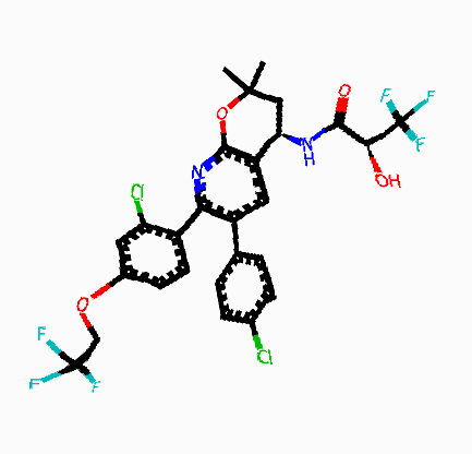 CC1(C)C[C@@H](NC(=O)[C@H](O)C(F)(F)F)c2cc(-c3ccc(Cl)cc3)c(-c3ccc(OCC(F)(F)F)cc3Cl)nc2O1